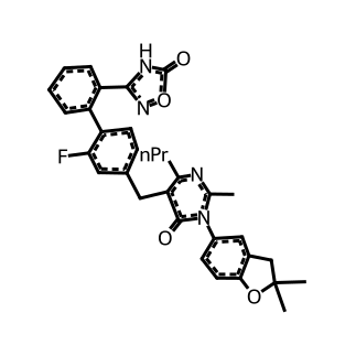 CCCc1nc(C)n(-c2ccc3c(c2)CC(C)(C)O3)c(=O)c1Cc1ccc(-c2ccccc2-c2noc(=O)[nH]2)c(F)c1